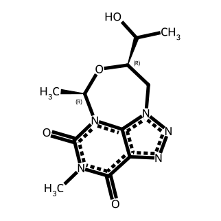 CC(O)[C@H]1Cn2nnc3c(=O)n(C)c(=O)n(c32)[C@@H](C)O1